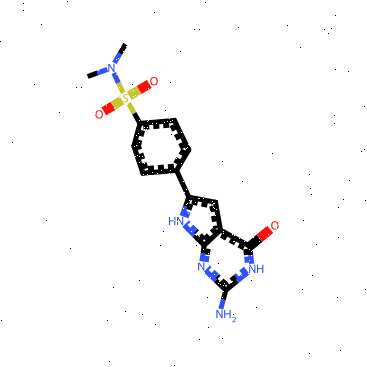 CN(C)S(=O)(=O)c1ccc(-c2cc3c(=O)[nH]c(N)nc3[nH]2)cc1